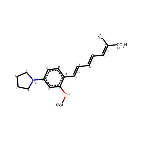 CCCCOc1cc(N2CCCC2)ccc1/C=C/C=C/C=C(\C#N)C(=O)O